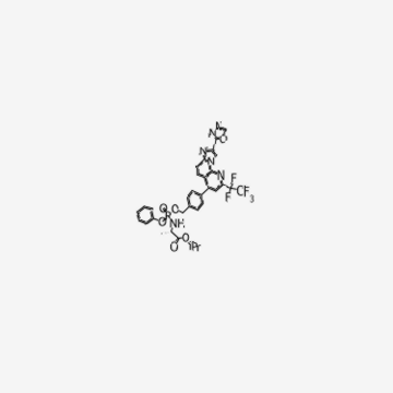 CC(C)OC(=O)[C@H](C)NP(=O)(OCc1ccc(-c2cc(C(F)(F)C(F)(F)F)nc3c2ccc2nc(-c4nnco4)cn23)cc1)Oc1ccccc1